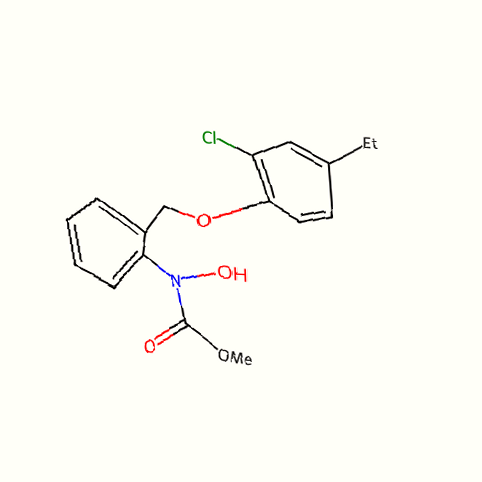 CCc1ccc(OCc2ccccc2N(O)C(=O)OC)c(Cl)c1